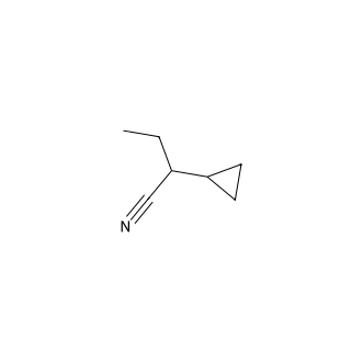 CCC(C#N)C1CC1